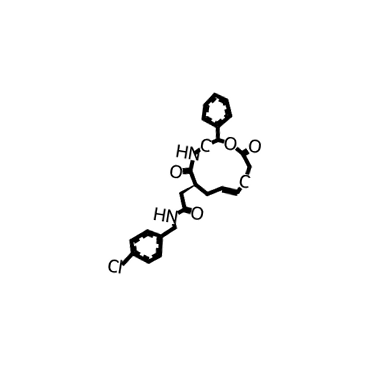 O=C(C[C@@H]1C/C=C/CCC(=O)OC(c2ccccc2)CNC1=O)NCc1ccc(Cl)cc1